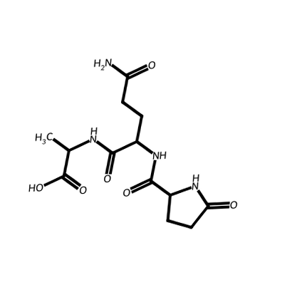 CC(NC(=O)C(CCC(N)=O)NC(=O)C1CCC(=O)N1)C(=O)O